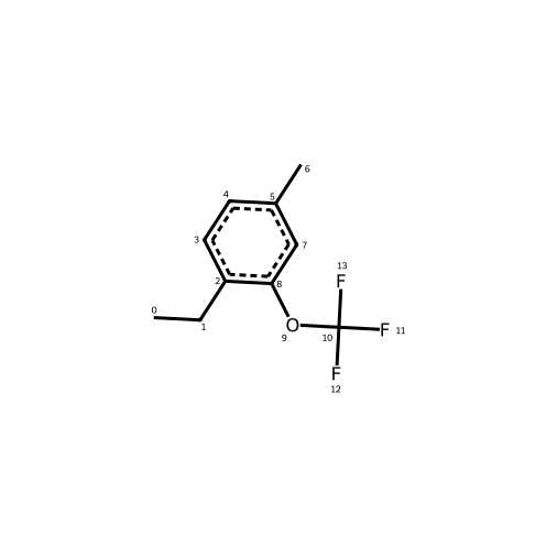 CCc1ccc(C)cc1OC(F)(F)F